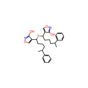 CC(CCCC(SC(CCCC(C)c1ccccc1)c1conc1O)c1conc1O)c1ccccc1